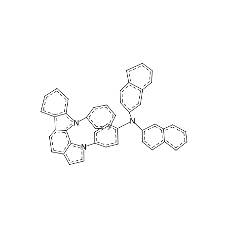 c1ccc(-n2c3ccccc3c3ccc4ccn(-c5ccc(N(c6ccc7ccccc7c6)c6ccc7ccccc7c6)cc5)c4c32)cc1